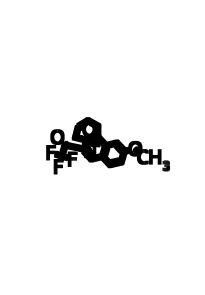 COc1ccc2c(c1)C13CCC4CC1(O4)C(C2)N(C(=O)C(F)(F)F)CC3